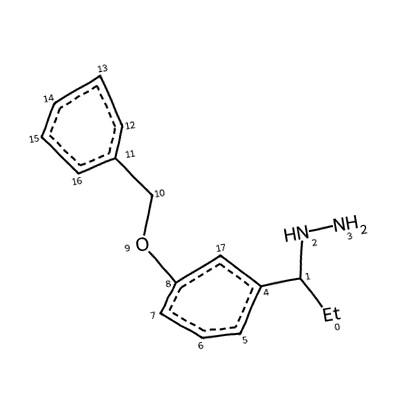 CCC(NN)c1cccc(OCc2ccccc2)c1